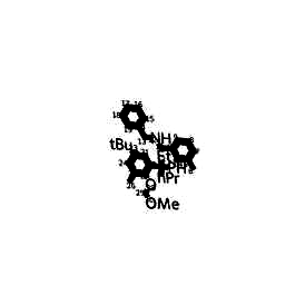 CCCC(CC)(Pc1c(C)cccc1CNCc1ccccc1)c1cc(C(C)(C)C)cc(C)c1OCOC